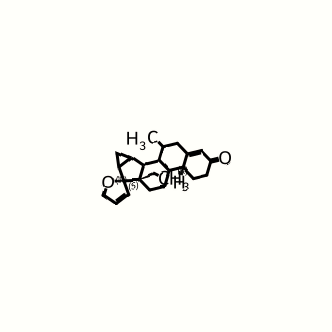 CC[C@]12CCC3C(C(C)CC4=CC(=O)CC[C@@H]43)C1C1CC1[C@@]21C=CCO1